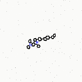 c1ccc(-c2nc3c(-c4ccc(-c5ccc6cc(-c7ccc8ccccc8c7)ccc6c5)cc4)cccc3c3c2ccc2c3c3ccccc3n2-c2ccccc2)cc1